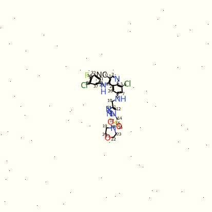 N#Cc1cnc2c(Cl)cc(NCc3cn(CS(=O)(=O)N4CCOCC4)nn3)cc2c1Nc1ccc(F)c(Cl)c1